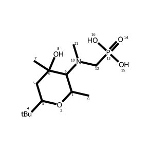 CC1OC(C(C)(C)C)CC(C)(O)C1N(C)CP(=O)(O)O